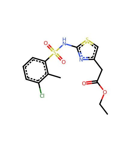 CCOC(=O)Cc1csc(NS(=O)(=O)c2cccc(Cl)c2C)n1